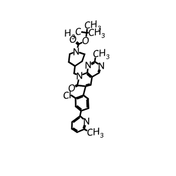 Cc1cccc(-c2ccc(-c3cc4cnc(C)nc4n(CC4CCN(C(=O)OC(C)(C)C)CC4)c3=O)c(Cl)c2)n1